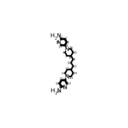 Nc1ccc(N2CCC(CCCC3CCN(c4ccc(N)nc4)CC3)CC2)cn1